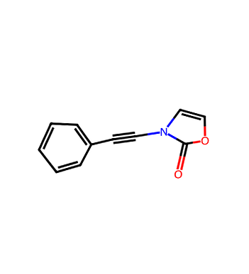 O=c1occn1C#Cc1ccccc1